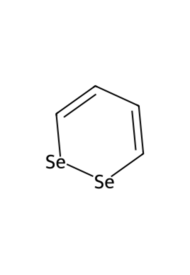 C1=C[Se][Se]C=C1